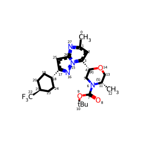 Cc1cc([C@H]2CN(C(=O)OC(C)(C)C)[C@@H](C)CO2)n2nc([C@H]3CC[C@H](C(F)(F)F)CC3)cc2n1